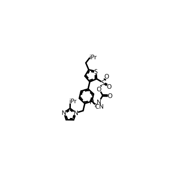 CC(C)Cc1cc(-c2ccc(Cn3ccnc3C(C)C)c(C#N)c2)c(S(=O)(=O)OC(N)=O)s1